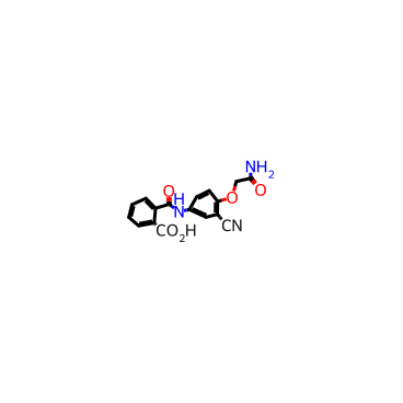 N#Cc1cc(NC(=O)c2ccccc2C(=O)O)ccc1OCC(N)=O